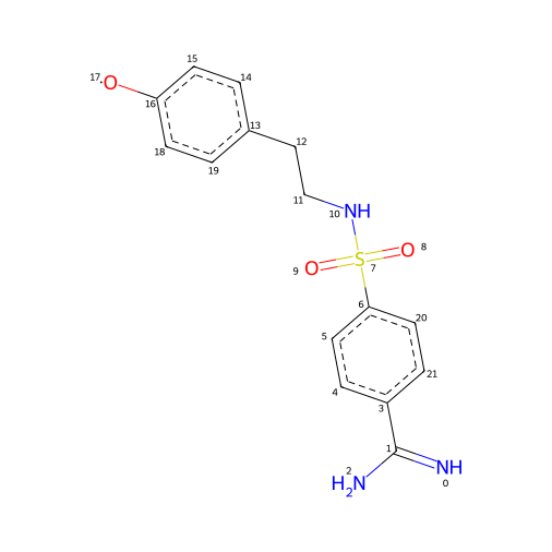 N=C(N)c1ccc(S(=O)(=O)NCCc2ccc([O])cc2)cc1